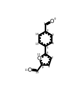 O=Cc1ccc(-c2ccc(C=O)o2)cc1